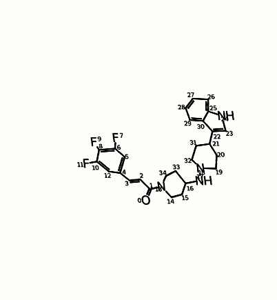 O=C(/C=C/c1cc(F)c(F)c(F)c1)N1CCC(NN2CCC(c3c[nH]c4ccccc34)CC2)CC1